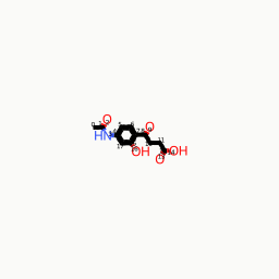 CC(=O)Nc1ccc(C(=O)CCC(=O)O)c(O)c1